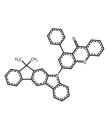 CC1(C)c2ccccc2-c2cc3c4ccccc4n(-c4cc(-c5ccccc5)c5c(=O)c6ccccc6oc5c4)c3cc21